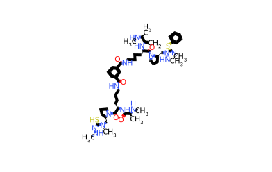 C=C(N[C@@H](CCCCNC(=O)c1cccc(C(=O)NCCCC[C@H](NC(=O)[C@H](C)NC)C(=O)N2CCC[C@H]2CN(C)/C(S)=N\NC)c1)C(=O)N1CCC[C@H]1CN(NC)/C(=N\C)Sc1ccccc1)[C@H](C)NC